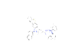 C=C1/C=C(c2ccc3c(c2)c2cc4sc5ccccc5c4cc2n3-c2ccc3ccccc3c2)\C=C/N(c2ccccc2)c2ccccc21